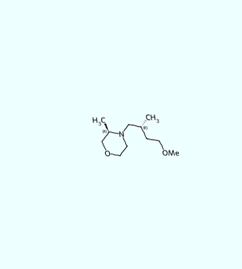 COCC[C@@H](C)CN1CCOC[C@H]1C